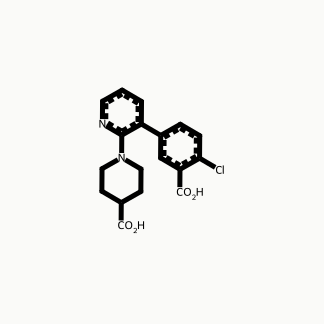 O=C(O)c1cc(-c2cccnc2N2CCC(C(=O)O)CC2)ccc1Cl